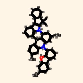 CC(C)(C)c1ccc2c(c1)N(c1cccc3c1oc1cc(C(C)(C)C)ccc13)c1cc(C(C)(C)C)cc3c1B2c1cccc2c4c(n-3c12)C(C)(C)c1ccccc1-4